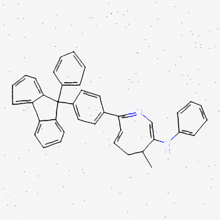 CC1C/C=C/C(c2ccc(C3(c4ccccc4)c4ccccc4-c4ccccc43)cc2)=N\C=C/1Nc1ccccc1